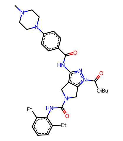 CCc1cccc(CC)c1NC(=O)N1Cc2c(NC(=O)c3ccc(N4CCN(C)CC4)cc3)nn(C(=O)OCC(C)C)c2C1